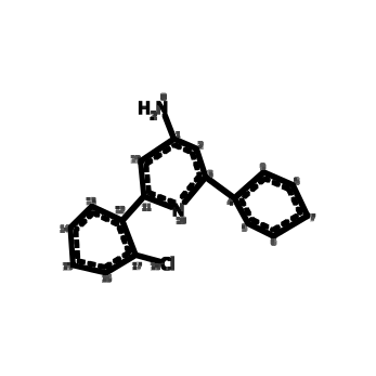 Nc1cc(-c2ccccc2)nc(-c2ccccc2Cl)c1